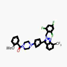 COc1ccccc1C(=O)N1CCN(c2ccc(-c3c4cccc(C(F)(F)F)c4nn3Cc3c(F)cc(F)cc3F)cc2)CC1